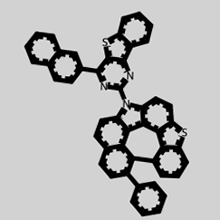 c1ccc(-c2ccc3ccc4c5c3c2-c2cccc3sc6ccc(c5c6c23)n4-c2nc(-c3ccc4ccccc4c3)c3sc4ccccc4c3n2)cc1